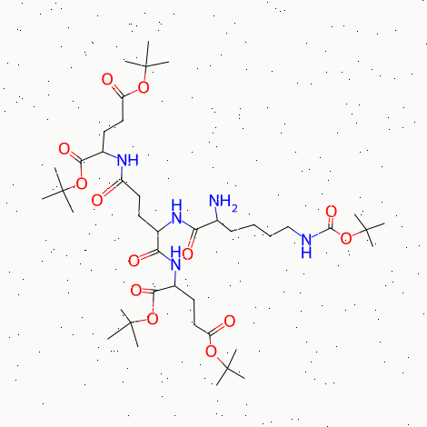 CC(C)(C)OC(=O)CCC(NC(=O)CCC(NC(=O)C(N)CCCCNC(=O)OC(C)(C)C)C(=O)NC(CCC(=O)OC(C)(C)C)C(=O)OC(C)(C)C)C(=O)OC(C)(C)C